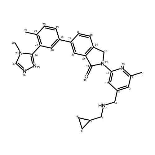 Cc1cc(CNCC2CC2)cc(N2Cc3ccc(-c4ccc(C)c(-c5nncn5C)c4)cc3C2=O)n1